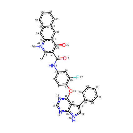 Cc1c(C(=O)Nc2ccc(Oc3ncnc4[nH]cc(-c5ccccc5)c34)c(F)c2)c(=O)c2cc3ccccc3cc2n1C